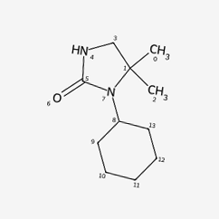 CC1(C)CNC(=O)N1C1CCCCC1